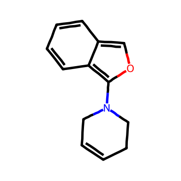 C1=CCN(c2occ3ccccc23)CC1